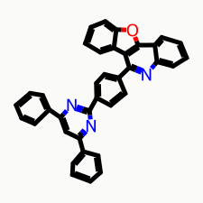 c1ccc(-c2cc(-c3ccccc3)nc(-c3ccc(-c4nc5ccccc5c5oc6ccccc6c45)cc3)n2)cc1